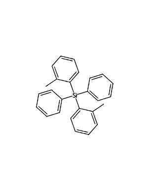 Cc1ccccc1[Si](c1ccccc1)(c1ccccc1)c1ccccc1C